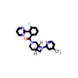 O=C(c1cccc(F)c1-c1ncccn1)N1CC[C@H]2CN(c3cc(C(F)(F)F)ccn3)[C@H]2C1